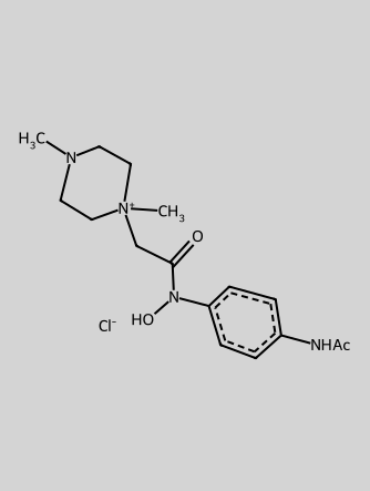 CC(=O)Nc1ccc(N(O)C(=O)C[N+]2(C)CCN(C)CC2)cc1.[Cl-]